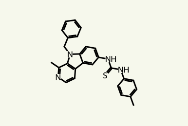 Cc1ccc(NC(=S)Nc2ccc3c(c2)c2ccnc(C)c2n3Cc2ccccc2)cc1